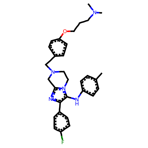 Cc1ccc(Nc2c(-c3ccc(F)cc3)nc3n2CCN(Cc2ccc(OCCCN(C)C)cc2)C3)cc1